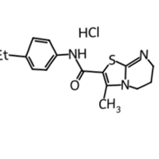 CCc1ccc(NC(=O)C2=C(C)N3CCCN=C3S2)cc1.Cl